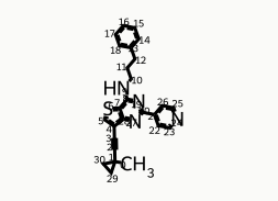 CC1(C#Cc2csc3c(NCCCc4ccccc4)nc(-c4ccncc4)nc23)CC1